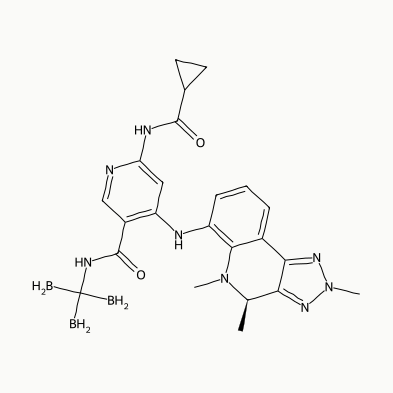 BC(B)(B)NC(=O)c1cnc(NC(=O)C2CC2)cc1Nc1cccc2c1N(C)[C@H](C)c1nn(C)nc1-2